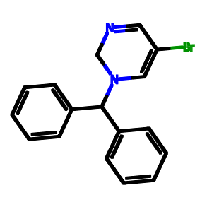 BrC1=CN(C(c2ccccc2)c2ccccc2)CN=C1